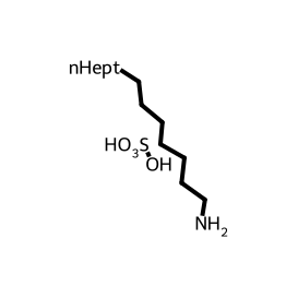 CCCCCCCCCCCCCCN.O=S(=O)(O)O